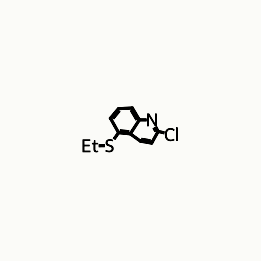 CCSc1cccc2nc(Cl)ccc12